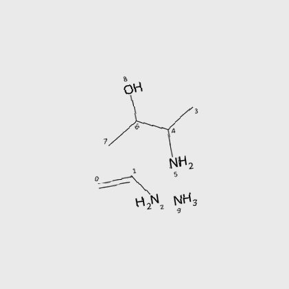 C=CN.CC(N)C(C)O.N